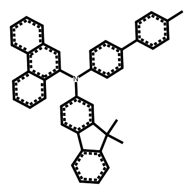 Cc1ccc(-c2ccc(N(c3ccc4c(c3)C(C)(C)c3ccccc3-4)c3cc4ccccc4c4ccccc34)cc2)cc1